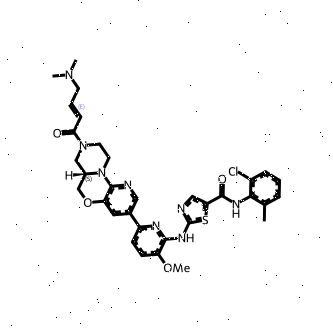 COc1ccc(-c2cnc3c(c2)OC[C@@H]2CN(C(=O)/C=C/CN(C)C)CCN32)nc1Nc1ncc(C(=O)Nc2c(C)cccc2Cl)s1